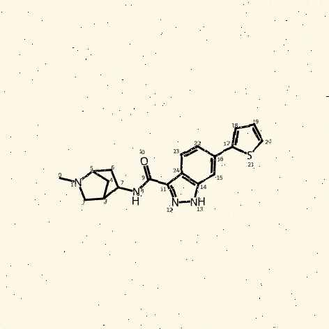 CN1CC2CC1CC2NC(=O)c1n[nH]c2cc(-c3cccs3)ccc12